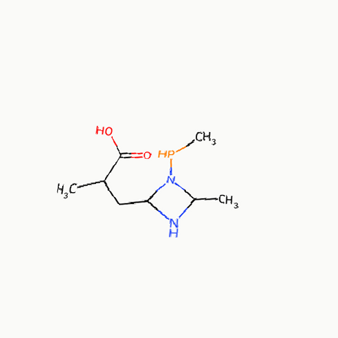 CPN1C(C)NC1CC(C)C(=O)O